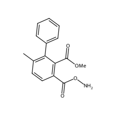 COC(=O)c1c(C(=O)ON)ccc(C)c1-c1ccccc1